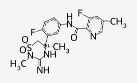 Cc1cnc(C(=O)Nc2ccc(F)c([C@]3(C)CS(=O)(=O)N(C)C(=N)N3)c2)c(F)c1